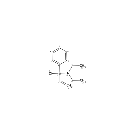 C=C[Si](Cl)(c1ccccc1)N(CC)CC